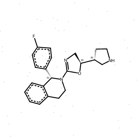 Fc1ccc([C@H]2c3ccccc3CCN2C2=NC[C@@H]([C@@H]3CCNC3)O2)cc1